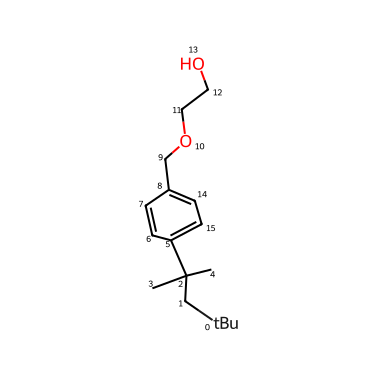 CC(C)(C)CC(C)(C)c1ccc(COCCO)cc1